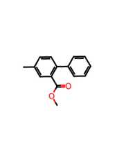 COC(=O)c1cc(C)ccc1-c1ccccc1